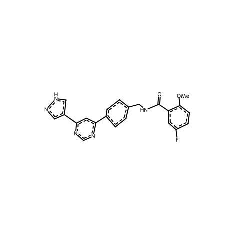 COc1ccc(F)cc1C(=O)NCc1ccc(-c2cc(-c3cn[nH]c3)ncn2)cc1